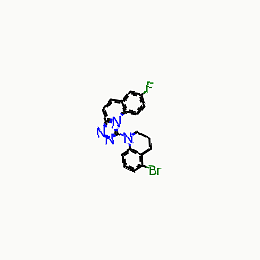 Fc1ccc2c(ccc3nnc(N4CCCc5c(Br)cccc54)n32)c1